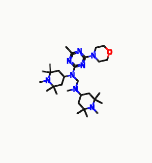 Cc1nc(N2CCOCC2)nc(N(CN(C)C2CC(C)(C)N(C)C(C)(C)C2)C2CC(C)(C)N(C)C(C)(C)C2)n1